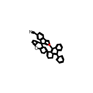 N#Cc1ccc2c(c1)C1(C3=C(CCC=C3)Oc3ccccc31)c1cc(-c3c4c(c(-c5ccccc5)c5ccccc35)CCC=C4)ccc1-2